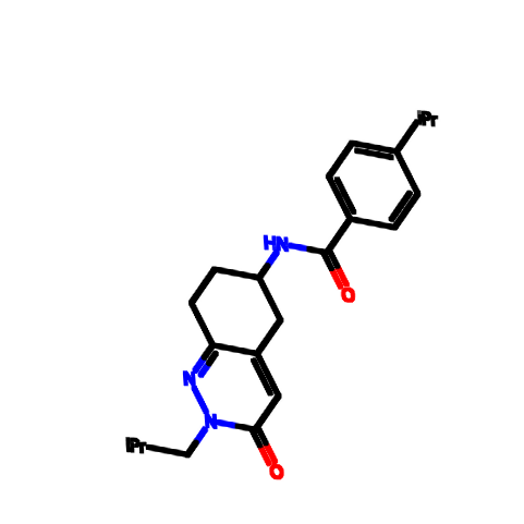 CC(C)Cn1nc2c(cc1=O)CC(NC(=O)c1ccc(C(C)C)cc1)CC2